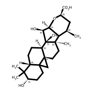 C[C@@H]1C[C@H](C(=O)O)O[C@H]2C1[C@@]1(C)CC[C@@]34CC35CC[C@H](O)C(C)(C)[C@@H]5CC[C@H]4[C@]1(C)[C@H]2O